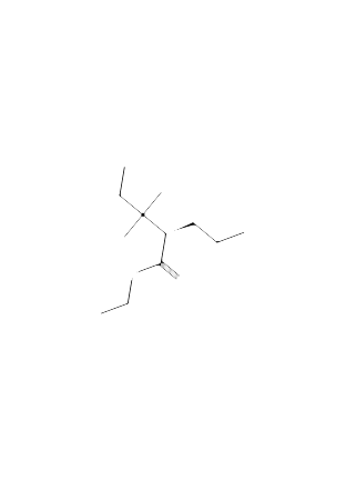 CCC[C@@H](C(=O)OCC)C(C)(C)CC